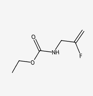 C=C(F)CNC(=O)OCC